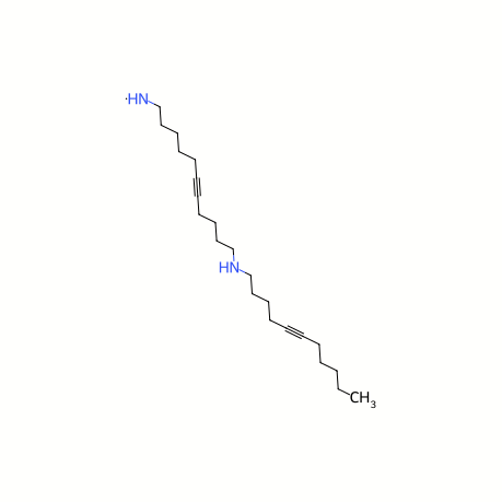 CCCCCC#CCCCCNCCCCC#CCCCCC[NH]